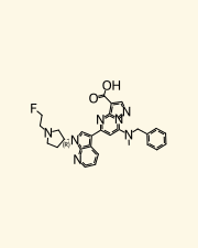 CN(Cc1ccccc1)c1cc(-c2cn([C@@H]3CCN(CCF)C3)c3ncccc23)nc2c(C(=O)O)cnn12